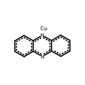 [Cu].c1ccc2nc3ccccc3nc2c1